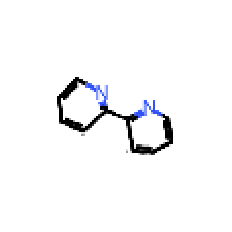 [c]1cccnc1-c1[c]cccn1